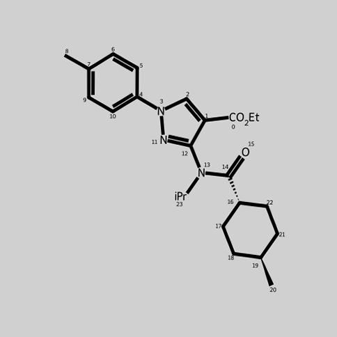 CCOC(=O)c1cn(-c2ccc(C)cc2)nc1N(C(=O)[C@H]1CC[C@H](C)CC1)C(C)C